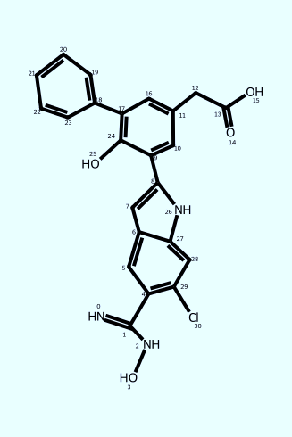 N=C(NO)c1cc2cc(-c3cc(CC(=O)O)cc(-c4ccccc4)c3O)[nH]c2cc1Cl